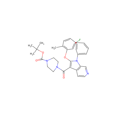 Cc1ccc(F)cc1Oc1c(C(=O)N2CCN(C(=O)OC(C)(C)C)CC2)c2ccncc2n1-c1ccccc1